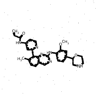 C=CC(=O)Nc1ccnc(-c2c(C)ccc3cnc(Nc4ccc(C5CNCCO5)cc4OC)nc23)c1